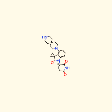 O=C1CC[C@@H](N2C(=O)C3(CC3)c3c(N4CCC5(CCNCC5)CC4)cccc32)C(=O)N1